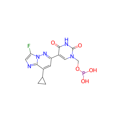 O=c1[nH]c(=O)n(COP(O)O)cc1-c1cc(C2CC2)c2ncc(F)n2n1